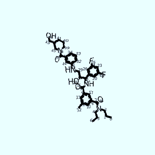 CCCN(CCC)C(=O)c1cc(C)cc(C(=O)NC(c2cc(F)cc(F)c2)C(O)CNc2cccc(C(=O)N3CCCC(CO)C3)c2)c1